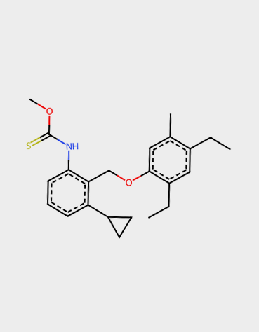 CCc1cc(CC)c(OCc2c(NC(=S)OC)cccc2C2CC2)cc1C